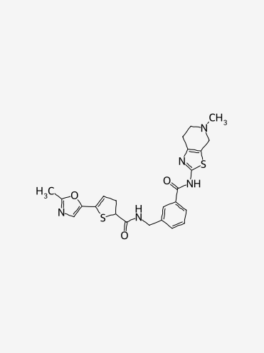 Cc1ncc(C2=CCC(C(=O)NCc3cccc(C(=O)Nc4nc5c(s4)CN(C)CC5)c3)S2)o1